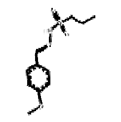 CCCS(=O)(=O)NN=Cc1ccc(OC)cc1